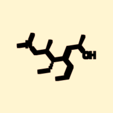 C/C=C\C(=C/[C@@H](C)O)[C@H](CC)[C@H](C)CN(C)C